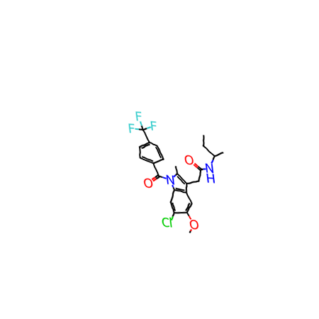 CCC(C)NC(=O)Cc1c(C)n(C(=O)c2ccc(C(F)(F)F)cc2)c2cc(Cl)c(OC)cc12